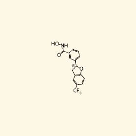 O=C(NO)c1cccc([C@@H]2Cc3cc(C(F)(F)F)ccc3O2)c1